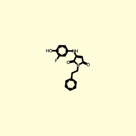 O=C1C=C(Nc2ccc(O)c(F)c2)C(=O)N1CCc1ccccc1